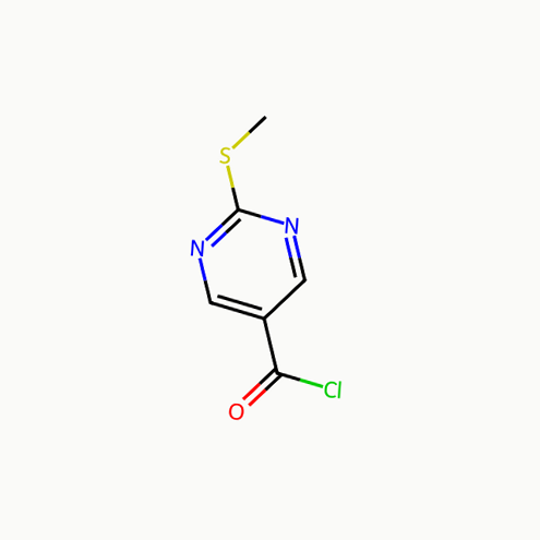 CSc1ncc(C(=O)Cl)cn1